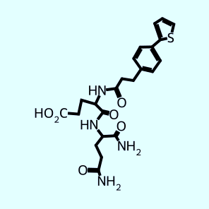 NC(=O)CCC(NC(=O)C(CCC(=O)O)NC(=O)CCc1ccc(-c2cccs2)cc1)C(N)=O